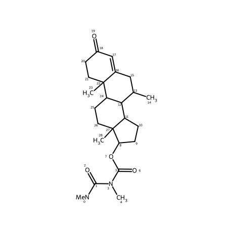 CNC(=O)N(C)C(=O)OC1CCC2C3C(C)CC4=CC(=O)CCC4(C)C3CCC12C